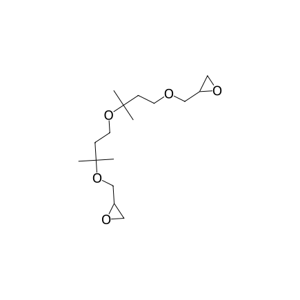 CC(C)(CCOCC1CO1)OCCC(C)(C)OCC1CO1